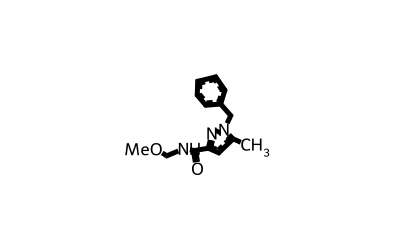 COCNC(=O)c1cc(C)n(Cc2ccccc2)n1